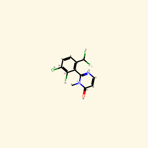 Cn1c(-c2c(C(F)F)ccc(Cl)c2F)nccc1=O